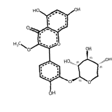 COc1c(-c2ccc(O)c(O[C@@H]3OC[C@@H](O)[C@H](O)[C@H]3O)c2)oc2cc(O)cc(O)c2c1=O